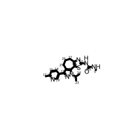 CNC(=O)Nc1nc2c(s1)-c1c(c(-c3ccc(C)nc3)nn1C(C)C)CCC2